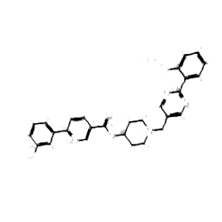 COc1ccccc1-c1ncc(CN2CCC(NC(=O)c3ccc(-c4cccc(F)c4)nc3)CC2)cn1